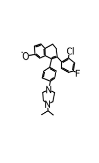 COc1ccc2c(c1)C(c1ccc(N3CCN(C(C)C)CC3)cc1)=C(c1ccc(F)cc1Cl)CC2